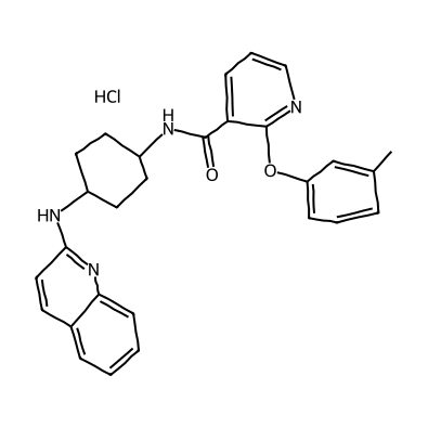 Cc1cccc(Oc2ncccc2C(=O)NC2CCC(Nc3ccc4ccccc4n3)CC2)c1.Cl